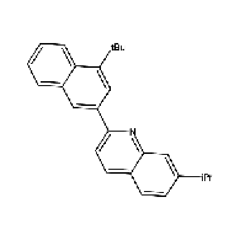 CC(C)c1ccc2ccc(-c3cc(C(C)(C)C)c4ccccc4c3)nc2c1